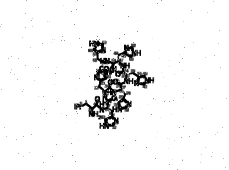 CC(C)C[C@H](N)C(=O)N[C@@H](Cc1c[nH]cn1)C(=O)N[C@@H](Cc1c[nH]cn1)C(=O)N[C@@H](Cc1c[nH]cn1)C(=O)N[C@@H](Cc1c[nH]cn1)C(=O)N[C@@H](Cc1c[nH]cn1)C(=O)N[C@@H](Cc1c[nH]cn1)C(=O)O